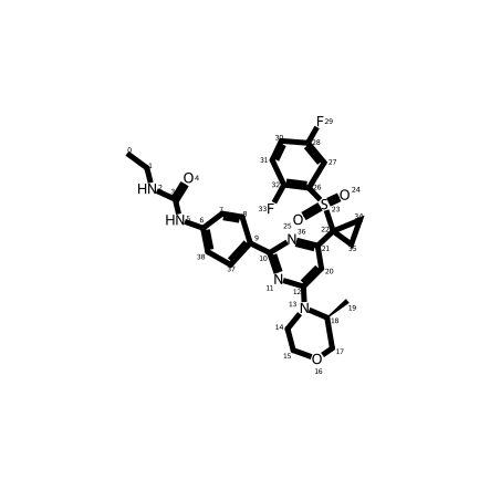 CCNC(=O)Nc1ccc(-c2nc(N3CCOC[C@@H]3C)cc(C3(S(=O)(=O)c4cc(F)ccc4F)CC3)n2)cc1